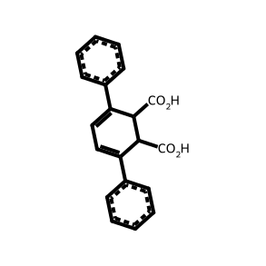 O=C(O)C1C(c2ccccc2)=CC=C(c2ccccc2)C1C(=O)O